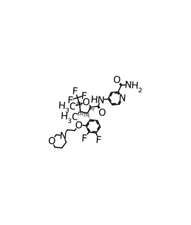 C[C@H]1[C@@H](c2ccc(F)c(F)c2OCCN2CCCOC2)[C@H](C(=O)Nc2ccnc(C(N)=O)c2)O[C@@]1(C)C(F)(F)F